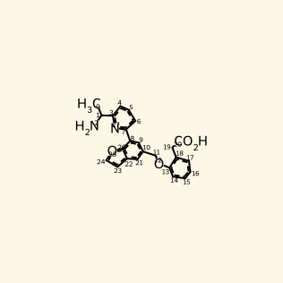 CC(N)c1cccc(-c2cc(COc3ccccc3CC(=O)O)cc3ccoc23)n1